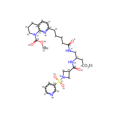 CCOC(=O)CC(CNC(=O)CCCCc1ccc2c(n1)N(C(=O)OC(C)(C)C)CCC2)NC(=O)C1CN(S(=O)(=O)c2cccnc2)C1